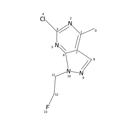 Cc1nc(Cl)nc2c1cnn2CCF